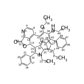 CCCCc1cc(-c2ccnc3c2C(c2c(-c4ccccc4)n(CC)c4ccccc24)OC3=O)c(OCC)c(NCC)c1-c1ccccc1